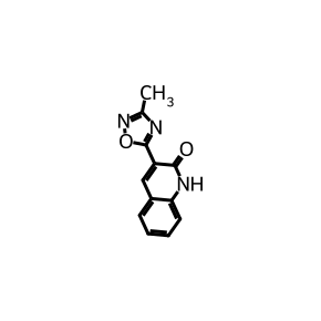 Cc1noc(-c2cc3ccccc3[nH]c2=O)n1